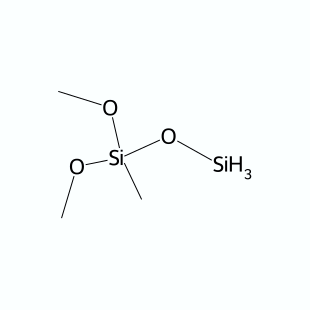 CO[Si](C)(OC)O[SiH3]